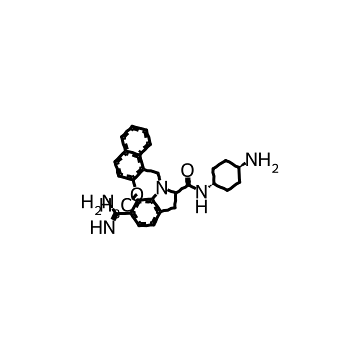 COc1ccc2ccccc2c1CN1c2cc(C(=N)N)ccc2CC1C(=O)N[C@H]1CC[C@H](N)CC1